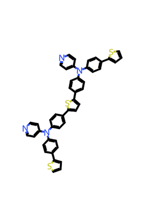 c1csc(-c2ccc(N(c3ccncc3)c3ccc(-c4ccc(-c5ccc(N(c6ccncc6)c6ccc(-c7cccs7)cc6)cc5)s4)cc3)cc2)c1